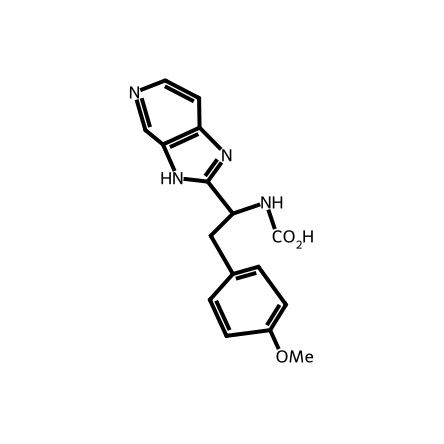 COc1ccc(CC(NC(=O)O)c2nc3ccncc3[nH]2)cc1